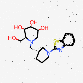 OC[C@H]1[C@@H](O)[C@H](O)[C@@H](O)CN1C[C@H]1CCCN(c2nc3ccccc3s2)C1